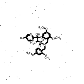 COc1ccc(CN(Cc2ccc(OC)cc2OC)S(=O)(=O)C(C)C(C)(O)c2ncc(Br)cn2)c(OC)c1